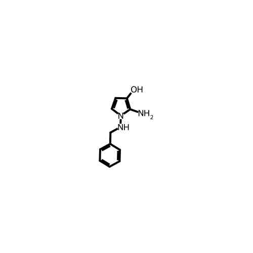 Nc1c(O)ccn1NCc1ccccc1